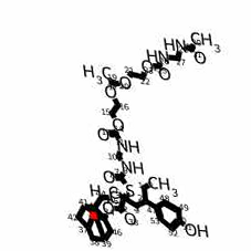 CCC(CC(C)(SC(=O)NCNC(=O)OCCOC(C)OCCOC(=O)NCNC(C)=O)C(=O)OC12CC3CC(CC(C3)C1CC)C2)c1ccc(O)cc1